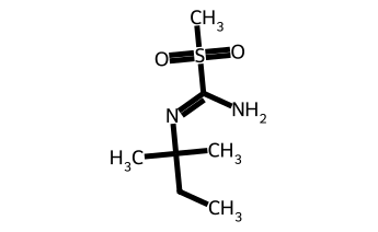 CCC(C)(C)/N=C(\N)S(C)(=O)=O